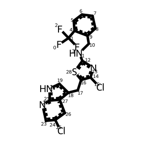 FC(F)(F)c1ccccc1CNc1nc(Cl)c(Cc2c[nH]c3ncc(Cl)cc23)s1